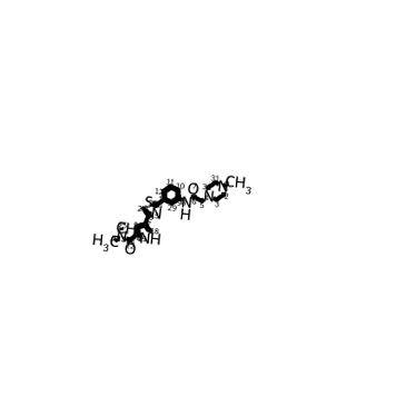 CN1CCN(CC(=O)Nc2cccc(-c3nc(-c4c[nH]c(C(=O)N(C)C)c4)cs3)c2)CC1